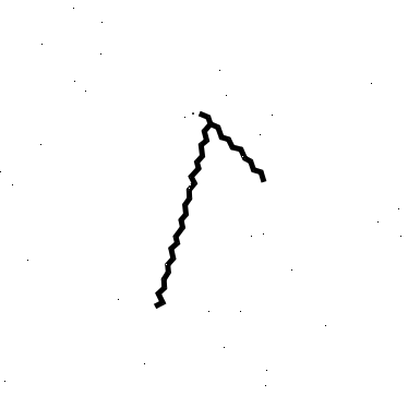 [CH2]CC(CCCCCCCCCC)CCCCCCCCCCCCCCCCCCCCCCCCC